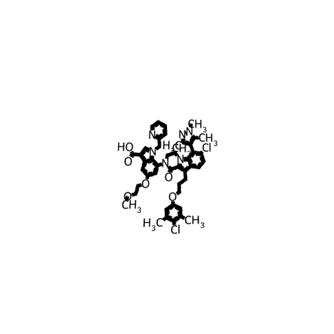 COCCOc1cc(N2C[C@@H](C)n3c(c(CCCOc4cc(C)c(Cl)c(C)c4)c4ccc(Cl)c(-c5c(C)nn(C)c5C)c43)C2=O)c2c(c1)c(C(=O)O)cn2Cc1ccccn1